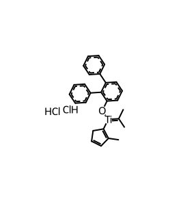 CC1=[C]([Ti]([O]c2cccc(-c3ccccc3)c2-c2ccccc2)=[C](C)C)CC=C1.Cl.Cl